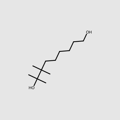 CC(C)(O)C(C)(C)CCCCCCO